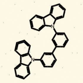 C1=C=Cc2c(c3ccccc3n2-c2cccc(-c3cccc(-n4c5ccccc5c5ccccc54)c3)c2)C=1